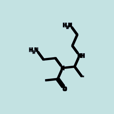 [CH2]C(NCCN)N(CCN)C(C)=O